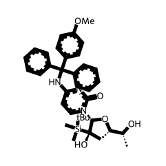 COc1ccc(C(Nc2ccn([C@@H]3O[C@H]([C@@H](C)O)C[C@]3(O)[Si](C)(C)C(C)(C)C)c(=O)n2)(c2ccccc2)c2ccccc2)cc1